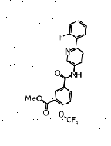 COC(=O)c1cc(C(=O)Nc2ccc(-c3ccccc3F)nc2)ccc1OC(F)(F)F